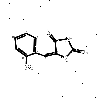 O=C1NC(=O)/C(=C\c2ccccc2[N+](=O)[O-])S1